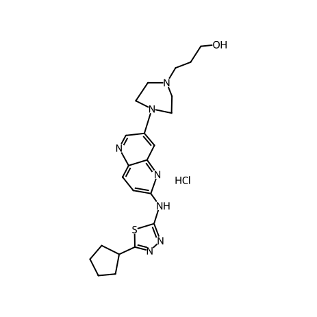 Cl.OCCCN1CCN(c2cnc3ccc(Nc4nnc(C5CCCC5)s4)nc3c2)CC1